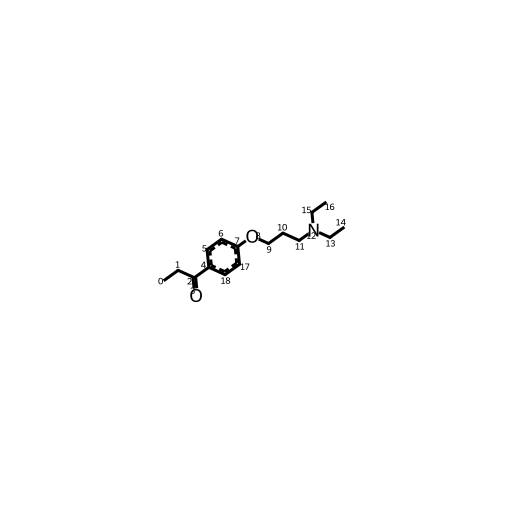 CCC(=O)c1ccc(OCCCN(CC)CC)cc1